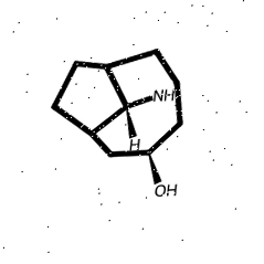 N[C@H]1C2CCC[C@@H](O)CC1CC2